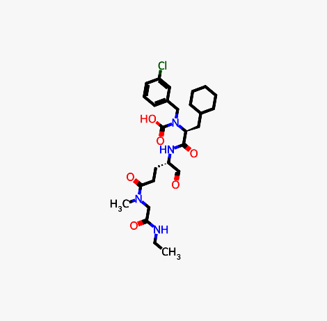 CCNC(=O)CN(C)C(=O)CC[C@@H](C=O)NC(=O)[C@H](CC1CCCCC1)N(Cc1cccc(Cl)c1)C(=O)O